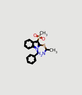 CC(N)Sc1c(S(C)(=O)=O)c2ccccc2n1Cc1ccccc1